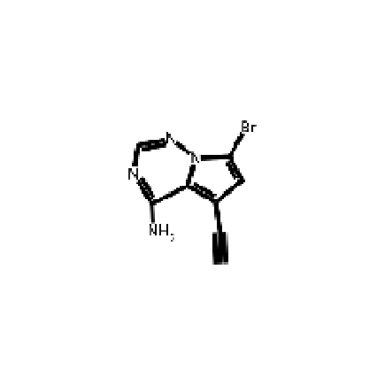 C#Cc1cc(Br)n2ncnc(N)c12